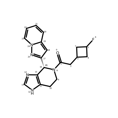 O=C(CC1CC(F)C1)N1CCc2[nH]cnc2[C@@H]1c1cc2ccccn2n1